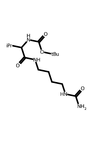 CC(C)C(NC(=O)OC(C)(C)C)C(=O)NCCCCNC(N)=O